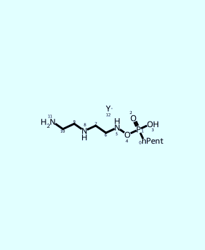 CCCCCP(=O)(O)ONCCNCCN.[Y]